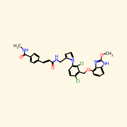 CNC(=O)c1ccc(C=CC(=O)NCc2cccn2-c2ccc(Cl)c(COc3cccc4[nH]c(OC)nc34)c2Cl)cc1